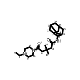 CCN1CCN(C(=O)CC(C)(C)CC(=O)NC2C3CC4CC(C3)CC2C4)CC1